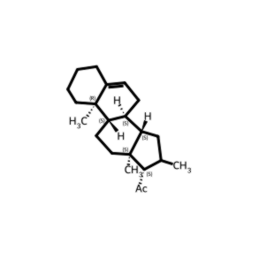 CC(=O)[C@H]1C(C)C[C@H]2[C@@H]3CC=C4CCCC[C@]4(C)[C@H]3CC[C@]12C